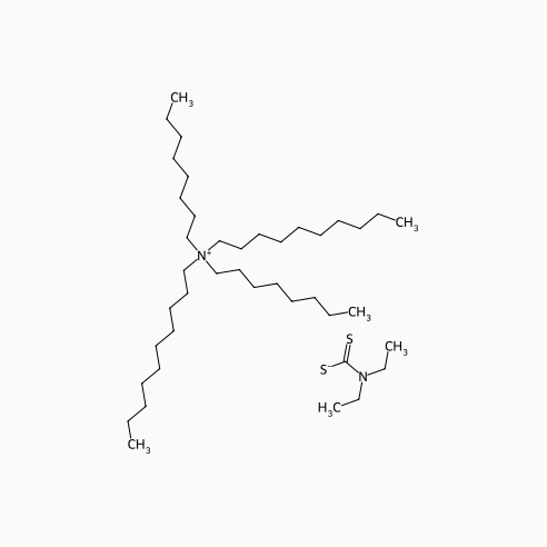 CCCCCCCCCC[N+](CCCCCCCC)(CCCCCCCC)CCCCCCCCCC.CCN(CC)C(=S)[S-]